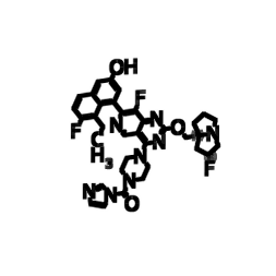 CCc1c(F)ccc2cc(O)cc(-c3ncc4c(N5CCN(C(=O)n6ccnc6)CC5)nc(OC[C@@]56CCCN5C[C@H](F)C6)nc4c3F)c12